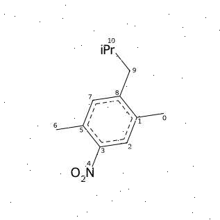 Cc1cc([N+](=O)[O-])c(C)cc1CC(C)C